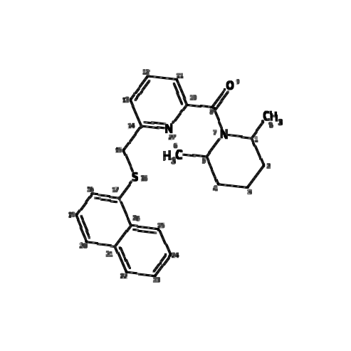 CC1CCCC(C)N1C(=O)c1cccc(CSc2cccc3ccccc23)n1